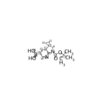 CC(C)(C)OC(=O)N1CC2(CC2)c2cc(B(O)O)cnc21